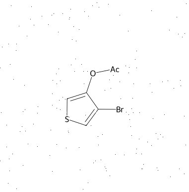 CC(=O)Oc1cscc1Br